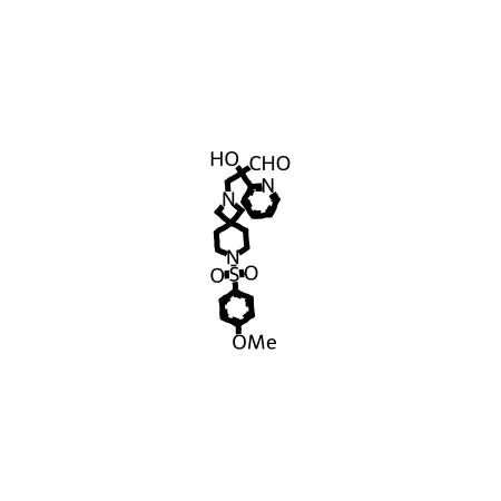 COc1ccc(S(=O)(=O)N2CCC3(CC2)CN(CC(O)(C=O)c2ccccn2)C3)cc1